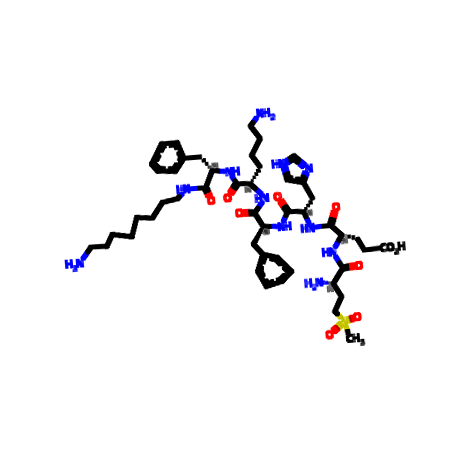 CS(=O)(=O)CC[C@H](N)C(=O)N[C@@H](CCC(=O)O)C(=O)N[C@@H](Cc1c[nH]cn1)C(=O)N[C@@H](Cc1ccccc1)C(=O)N[C@@H](CCCCN)C(=O)N[C@@H](Cc1ccccc1)C(=O)NCCCCCCCCN